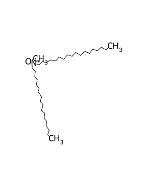 CCCCCCCCCCCCCCCCCC[N+](C)([O-])CCCCCCCCCCCCCCCCCC